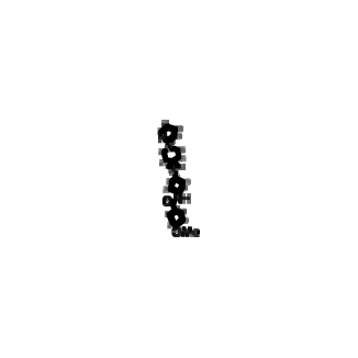 COc1ccc(C(=O)Nc2ccc(N3CC4(CCN(c5ccccn5)CC4)C3)cc2)cc1